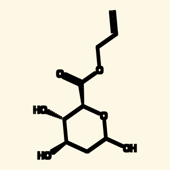 C=CCOC(=O)[C@H]1OC(O)C[C@@H](O)[C@@H]1O